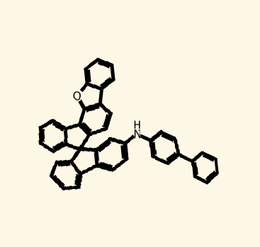 c1ccc(-c2ccc(Nc3ccc4c(c3)C3(c5ccccc5-4)c4ccccc4-c4c3ccc3c4oc4ccccc43)cc2)cc1